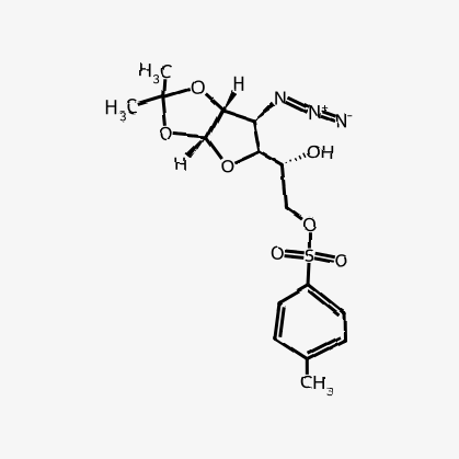 Cc1ccc(S(=O)(=O)OC[C@@H](O)C2O[C@@H]3OC(C)(C)O[C@@H]3[C@H]2N=[N+]=[N-])cc1